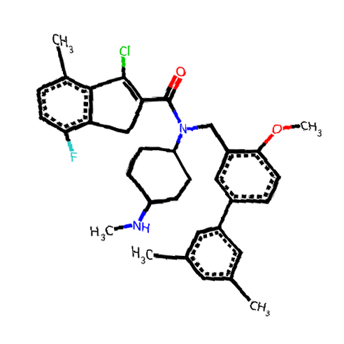 CNC1CCC(N(Cc2cc(-c3cc(C)cc(C)c3)ccc2OC)C(=O)C2=C(Cl)c3c(C)ccc(F)c3C2)CC1